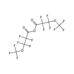 O=C(OC(=O)C(F)(F)C(F)(F)OC(F)(F)F)C(F)(F)C(F)(F)OC(F)(F)F